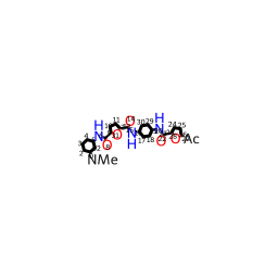 CNc1cccc(NC(=O)c2ccc(C(=O)Nc3ccc(NC(=O)c4ccc(C(C)=O)o4)cc3)o2)c1